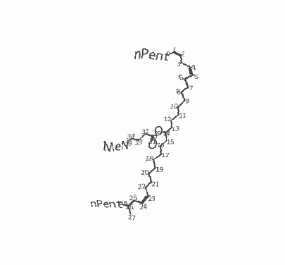 CCCCC/C=C\C/C=C\CCCCCCCCC(CCCCCCCC/C=C\CC(C)CCCCC)OC(=O)CCCNC